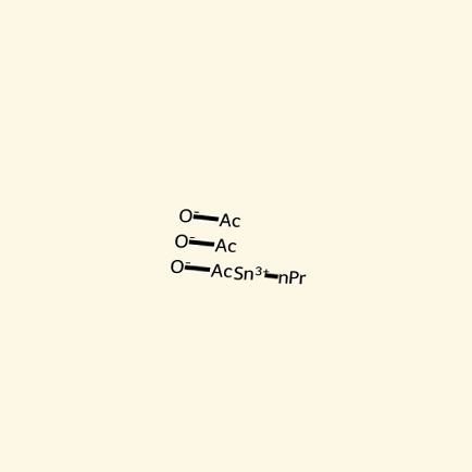 CC(=O)[O-].CC(=O)[O-].CC(=O)[O-].CC[CH2][Sn+3]